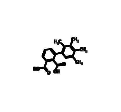 Cc1cc(-c2cccc(C(=O)O)c2C(=O)O)c(C)c(C)c1C